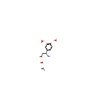 CCC(=O)Oc1ccc(C(CC(C)OC(=O)OC(C)C(C)C)[C@H](N)C(=O)O)cc1OC(=O)CC